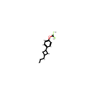 CCCC1CC(c2ccc(OC(F)F)cc2)C1